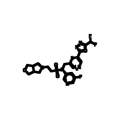 C=C(CN(c1cncc(F)c1)S(=O)(=O)CCN1CC2COCC2C1)S/C(=C\N)c1nnc(C(F)F)o1